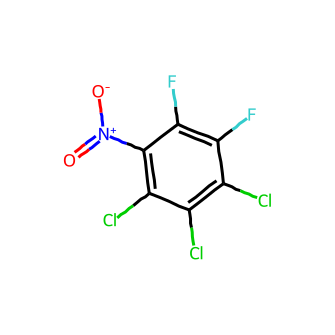 O=[N+]([O-])c1c(F)c(F)c(Cl)c(Cl)c1Cl